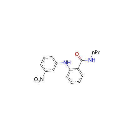 CCCNC(=O)c1ccccc1Nc1cccc([N+](=O)[O-])c1